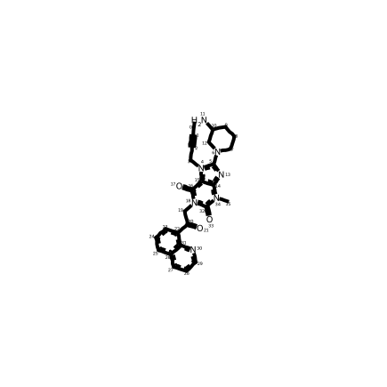 CC#CCn1c(N2CCCC(N)C2)nc2c1c(=O)n(CC(=O)c1cccc3cccnc13)c(=O)n2C